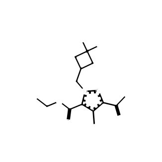 CCOC(=O)c1c(C)c(C(C)=O)nn1CC1CC(F)(F)C1